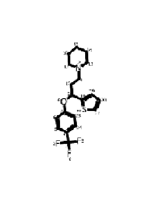 FC(F)(F)c1ccc(OC(CCN2CCCCC2)c2cccs2)cc1